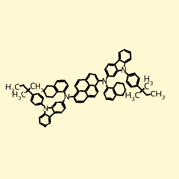 CCC(C)(C)c1ccc(-n2c3ccccc3c3ccc(N(c4cccc5c4CCCC5)c4ccc5ccc6c(N(c7ccc8c9ccccc9n(-c9ccc(C(C)(C)CC)cc9)c8c7)c7cccc8c7CCCC8)ccc7ccc4c5c76)cc32)cc1